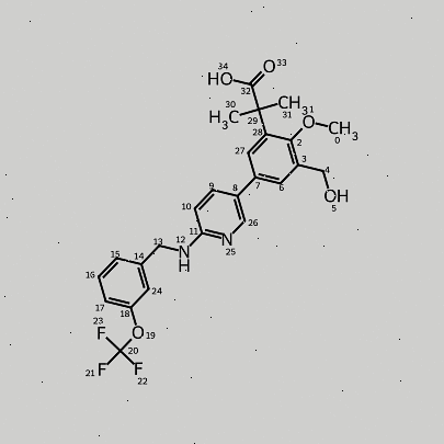 COc1c(CO)cc(-c2ccc(NCc3cccc(OC(F)(F)F)c3)nc2)cc1C(C)(C)C(=O)O